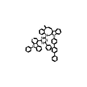 C=C/C(c1nc(-c2ccccc2)nc(N2Cc3c(c4ccccc4n3-c3ccc(-c4ccc(-c5ccccc5)cc4)cc3)/C=C\C(=C)c3ccccc32)n1)=c1\c(=C/C)n(-c2ccccc2)c2ccccc12